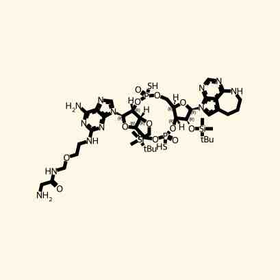 CC(C)(C)[Si](C)(C)CO[C@H]1[C@H]2OP(=O)(S)OC[C@H]3O[C@@H](n4cc5c6c(ncnc64)NCCC5)[C@H](O[Si](C)(C)C(C)(C)C)[C@@H]3OP(=O)(S)OC[C@H]1O[C@H]2n1cnc2c(N)nc(NCCOCNC(=O)CN)nc21